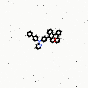 c1ccc(-c2ccc(N(c3ccc(-c4c5ccccc5c(-c5ccccc5-c5ccccc5)c5ccccc45)cc3)c3ccccn3)cc2)cc1